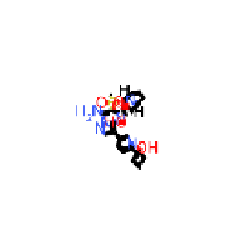 CS(=O)(=O)c1c([C@H]2C[C@H]3CC[C@@H](C2)N3C(=O)CO)nc2c(-c3ccc(C4(O)CCC4)nc3)cnn2c1N